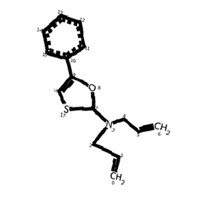 C=CCN(CC=C)C1OC(c2ccccc2)=CS1